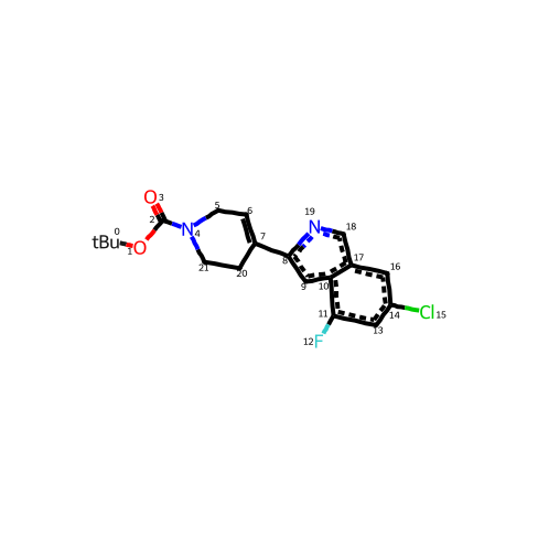 CC(C)(C)OC(=O)N1CC=C(c2cc3c(F)cc(Cl)cc3cn2)CC1